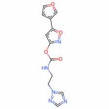 O=C(NCCn1cncn1)Oc1cc(-c2ccoc2)on1